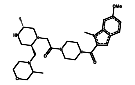 COc1ccc2cc(C(=O)N3CCN(C(=O)CN4C[C@@H](C)NC[C@@H]4CN4CCOCC4C)CC3)n(C)c2c1